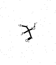 O=CC(F)(CF)OF